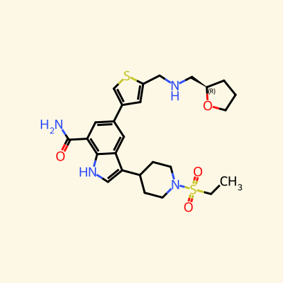 CCS(=O)(=O)N1CCC(c2c[nH]c3c(C(N)=O)cc(-c4csc(CNC[C@H]5CCCO5)c4)cc23)CC1